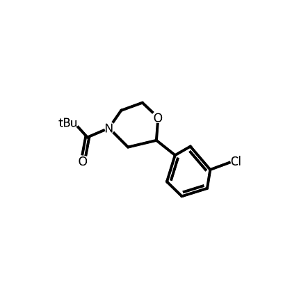 CC(C)(C)C(=O)N1CCOC(c2cccc(Cl)c2)C1